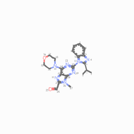 CC(C)c1nc2ccccc2n1-c1nc(N2CCOCC2)c2nc(C=O)n(C)c2n1